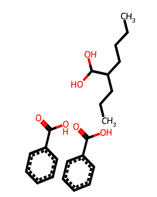 CCCCC(CCC)C(O)O.O=C(O)c1ccccc1.O=C(O)c1ccccc1